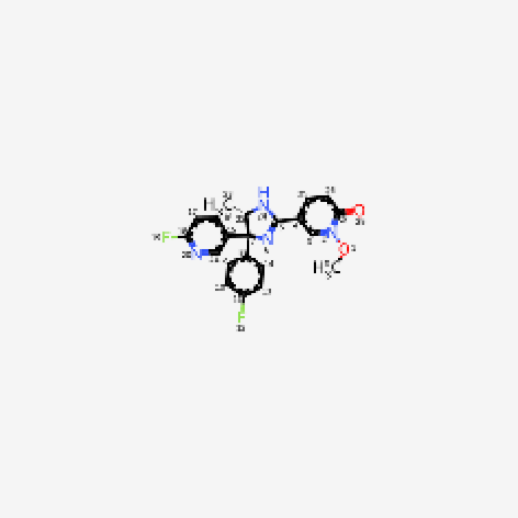 COn1cc(C2=N[C@](c3ccc(F)cc3)(c3ccc(F)nc3)[C@H](C)N2)ccc1=O